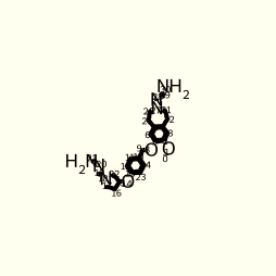 COc1cc2c(cc1OCc1ccc(OC3CCN(C=NN)C3)cc1)CCN(N=CN)CC2